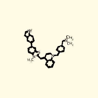 CN(C)Cc1ccc(CN2C=CC(=Cc3sc4cc(-c5ccc6[nH]ccc6c5)ccc4[n+]3C)c3ccccc32)cc1